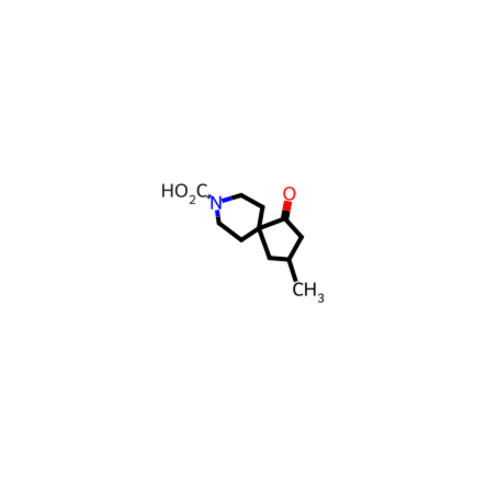 CC1CC(=O)C2(CCN(C(=O)O)CC2)C1